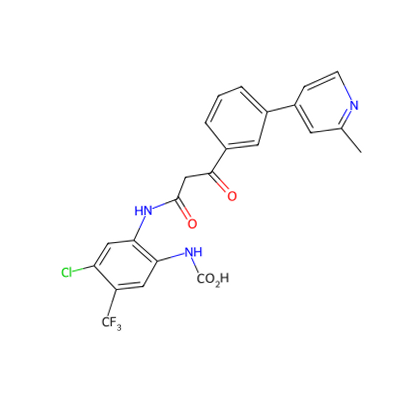 Cc1cc(-c2cccc(C(=O)CC(=O)Nc3cc(Cl)c(C(F)(F)F)cc3NC(=O)O)c2)ccn1